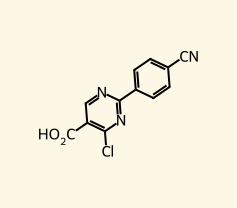 N#Cc1ccc(-c2ncc(C(=O)O)c(Cl)n2)cc1